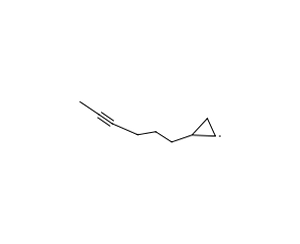 CC#CCCCC1[CH]C1